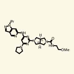 COCCNC(=O)N1C[C@@H]2CN(c3nc(Nc4cc5c(cn4)cnn5C(C)C)cc(N4CCCC4)n3)C[C@@H]2C1